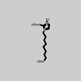 CCCCCCCCCCCCCCCCCCn1cc[n+](CC)c1CCCCC